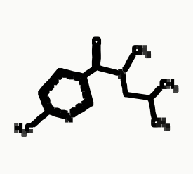 Cc1ccc(C(=O)N(C)CC(C)C)cn1